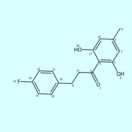 Cc1cc(O)c(C(=O)CCc2ccc(F)cc2)c(O)c1